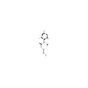 CCC(C)C1CC(=O)C(c2c(C)cc(C)cc2C)C(=O)O1